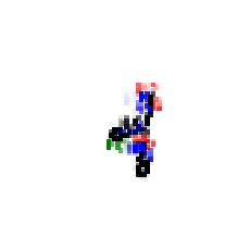 CN(C(=O)NCc1cccc(F)c1Cl)[C@@H](CCCNC(=O)[C@H](N)CO)COC(=O)Nc1cc2ccccc2cn1